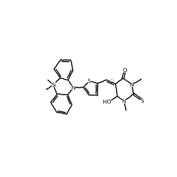 CN1C(=O)/C(=C/c2ccc(N3c4ccccc4[Si](C)(C)c4ccccc43)s2)C(O)N(C)C1=S